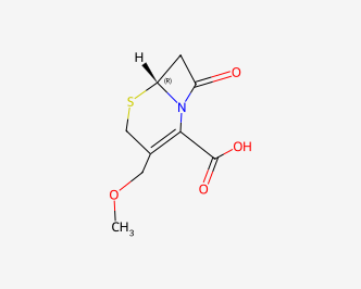 COCC1=C(C(=O)O)N2C(=O)C[C@H]2SC1